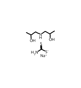 CC(O)CNCC(C)O.NC(=S)[S-].[Na+]